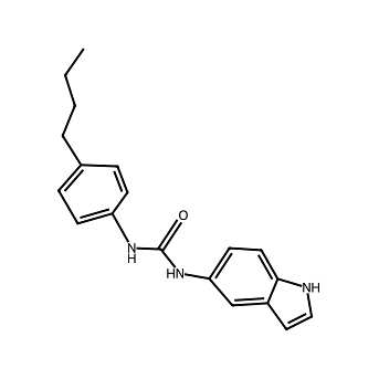 CCCCc1ccc(NC(=O)Nc2ccc3[nH]ccc3c2)cc1